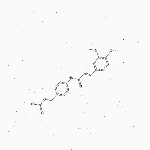 COc1ccc(C=CC(=O)Nc2ccc(CO[N+](=O)[O-])cc2)cc1OC